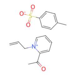 C=CC[n+]1ccccc1C(C)=O.Cc1ccc(S(=O)(=O)[O-])cc1